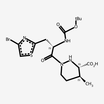 C[C@H]1CCN(C(=O)[C@H](Cc2nc(Br)cs2)NC(=O)OC(C)(C)C)N[C@@H]1C(=O)O